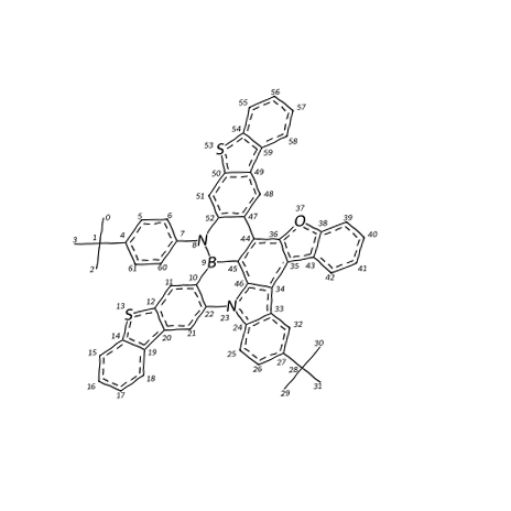 CC(C)(C)c1ccc(N2B3c4cc5sc6ccccc6c5cc4-n4c5ccc(C(C)(C)C)cc5c5c6c(oc7ccccc76)c(c3c54)-c3cc4c(cc32)sc2ccccc24)cc1